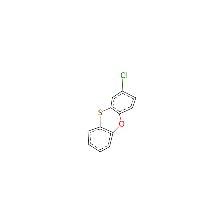 Clc1ccc2c(c1)Sc1ccccc1O2